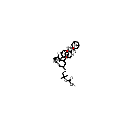 COc1ccc(NC(=O)N2C3CC2CN(c2ccc(-c4cc(OCC(C)(C)OC(=O)C(F)(F)F)cn5ncc(C#N)c45)cn2)C3)cn1